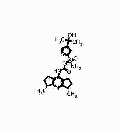 C[C@H]1CCc2c1nc1c(c2NC(=O)N=[S@](N)(=O)c2cc(C(C)(C)O)cs2)CC[C@@H]1C